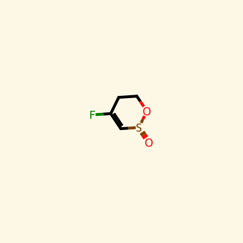 O=S1C=C(F)CCO1